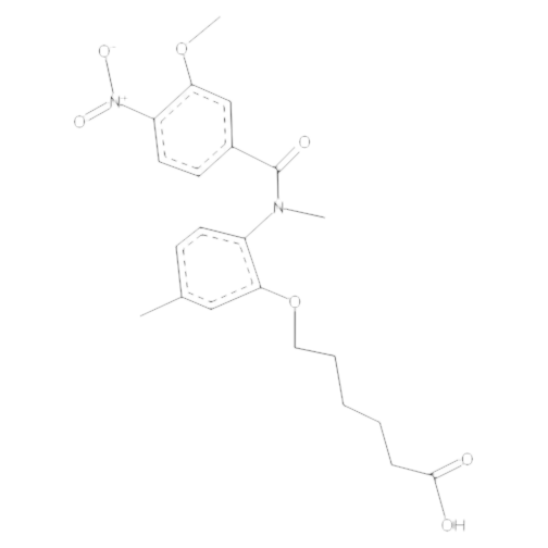 COc1cc(C(=O)N(C)c2ccc(C)cc2OCCCCCC(=O)O)ccc1[N+](=O)[O-]